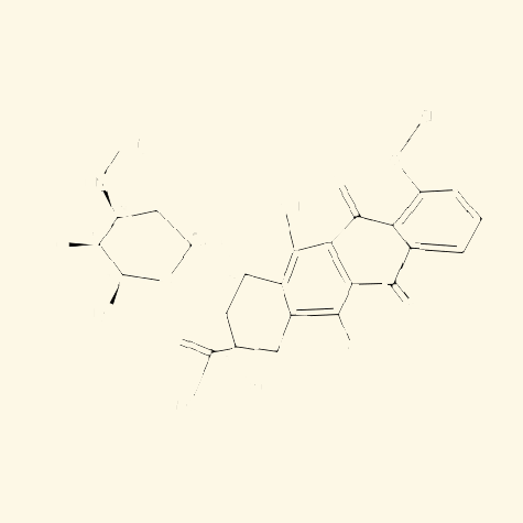 COc1cccc2c1C(=O)c1c(O)c3c(c(O)c1C2=O)C[C@@](O)(C(C)=O)C[C@@H]3O[C@H]1C[C@H](NP)[C@H](O)[C@H](C)O1